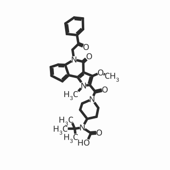 COc1c(C(=O)N2CCC(N(C(=O)O)C(C)(C)C)CC2)n(C)c2c1c(=O)n(CC(=O)c1ccccc1)c1ccccc21